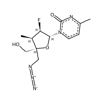 Cc1ccn([C@@H]2O[C@@](CO)(CN=[N+]=[N-])[C@@H](C)[C@H]2F)c(=O)n1